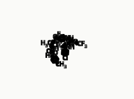 Cc1ccc(NC(=O)C(=O)NCC(C)(C)CNC(=O)c2ccc(Nc3nc(NC4(c5ccc(Cl)cc5)CC4)nc(OCC(F)(F)F)n3)cc2F)cc1